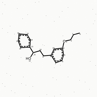 CCCOc1cccc(CCC(O)c2ccccc2)c1